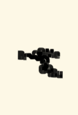 COC(=O)C1(CCCCBr)CCCN(C(=O)OC(C)(C)C)C1